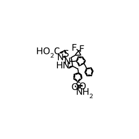 NS(=O)(=O)c1ccc(CC2=CNN(c3nc(C(=O)O)cs3)C2(CC2CC2(F)F)c2cccc(-c3ccccc3)c2)cc1